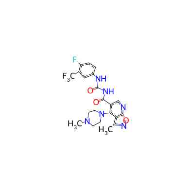 Cc1noc2ncc(C(=O)NC(=O)Nc3ccc(F)c(C(F)(F)F)c3)c(N3CCN(C)CC3)c12